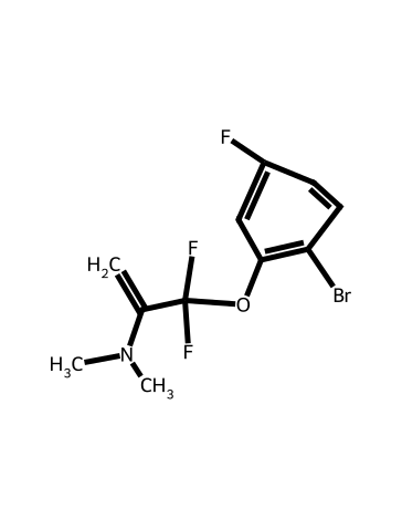 C=C(N(C)C)C(F)(F)Oc1cc(F)ccc1Br